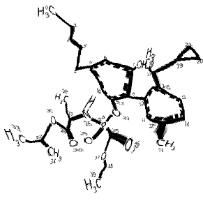 CCCCCc1cc(O)c(-c2cc(C)ccc2C(C)C2CC2)c(OP(=O)(NC(C)C(=O)OC(C)C)C(=O)OCC)c1